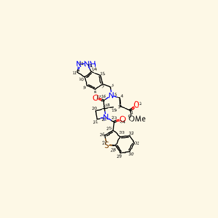 COC(=O)CCN(Cc1ccc2cn[nH]c2c1)C(=O)C1(C)CCN1C(=O)c1csc2ccccc12